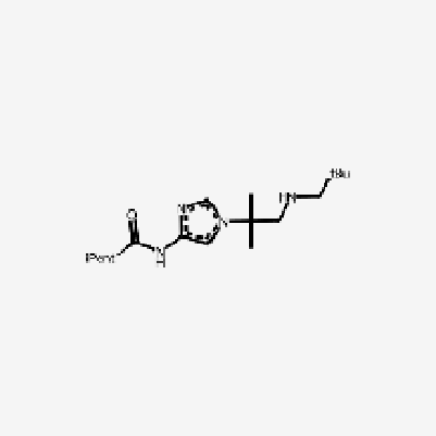 CCC[C@H](C)C(=O)Nc1cn(C(C)(C)CNCC(C)(C)C)cn1